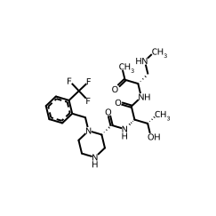 CNC[C@H](NC(=O)[C@@H](NC(=O)[C@@H]1CNCCN1Cc1ccccc1C(F)(F)F)[C@H](C)O)C(C)=O